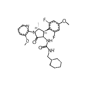 COc1cc(F)c([C@H]2C(NC(=O)NCC3CCCCC3)C(=O)N(c3ncccc3OC)[C@@H]2C)c(F)c1